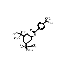 CC(c1ccc(C(=O)OC2CC(C(O)(C(F)(F)F)C(F)(F)F)CC(C(O)(C(F)(F)F)C(F)(F)F)C2)cc1)C(C)(C)C